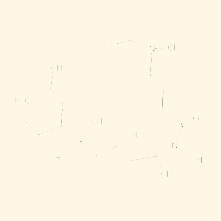 CCN(C)CCCC(=O)N(C)C(C)(C)CCOC(C)(C)C(C=O)CC(C)C